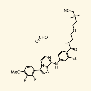 CCc1cc(Nc2nccn3c(-c4ccc(OC)c(F)c4F)cnc23)ccc1C(=O)NCCOCC[N+](C)(C)CC#N.O=C[O-]